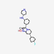 Fc1ccc(-c2ccn3c(-c4cccc(Nc5ccncc5)c4)cnc3c2)cc1.O=CO